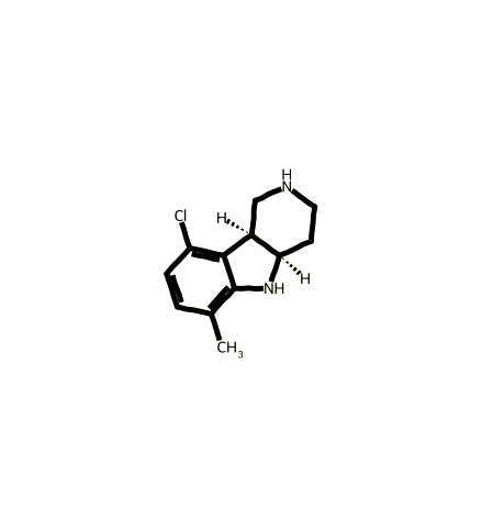 Cc1ccc(Cl)c2c1N[C@@H]1CCNC[C@H]21